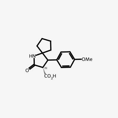 COc1ccc(C2[C@H](C(=O)O)C(=O)NC23CCCC3)cc1